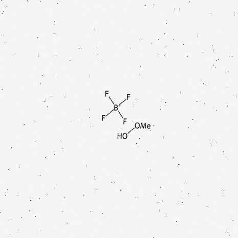 F[B-](F)(F)F.[CH2+]OO